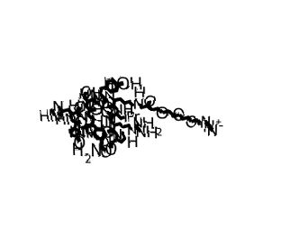 CC(C)CC(NC(=O)C(CCCCNCC(=O)CCOCCOCCOCCN=[N+]=[N-])NC(=O)C(Cc1ccc(O)cc1)NC(=O)C(CO)NC(=O)C(Cc1c[nH]c2ccccc12)NC(=O)C(Cc1c[nH]cn1)NC(=O)C1CCC(=O)N1)C(=O)NC(CCCNC(=N)N)C(=O)N1CCCC1C(=O)NCC(N)=O